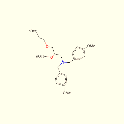 CCCCCCCCCCCCOCC(CN(Cc1ccc(OC)cc1)Cc1ccc(OC)cc1)OCCCCCCCC